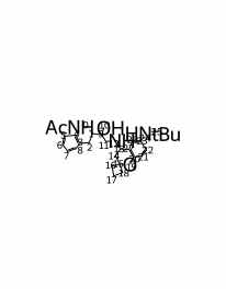 CC(=O)N[C@@H](Cc1ccccc1)[C@@H](O)CN[C@H]1CC2(CCC2)Oc2ccc(NC(C)(C)C)cc21